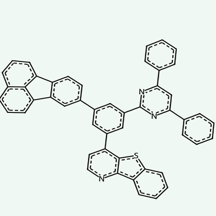 c1ccc(-c2cc(-c3ccccc3)nc(-c3cc(-c4ccc5c(c4)-c4cccc6cccc-5c46)cc(-c4ccnc5c4sc4ccccc45)c3)n2)cc1